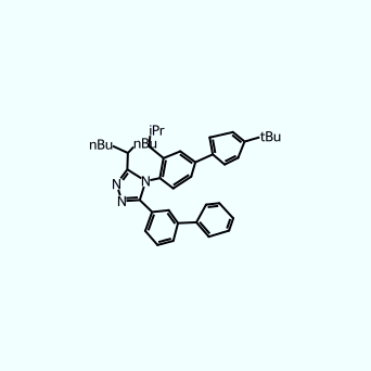 CCCCC(CCCC)c1nnc(-c2cccc(-c3ccccc3)c2)n1-c1ccc(-c2ccc(C(C)(C)C)cc2)cc1CC(C)C